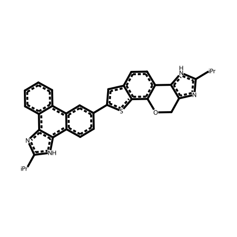 CC(C)c1nc2c([nH]1)-c1ccc3cc(-c4ccc5c(c4)c4ccccc4c4nc(C(C)C)[nH]c54)sc3c1OC2